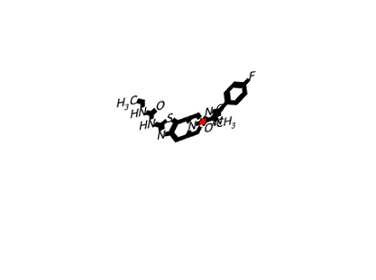 CCNC(=O)Nc1nc2c(s1)C1CN(C(C)=O)CC(C2)N1c1nc(-c2ccc(F)cc2)no1